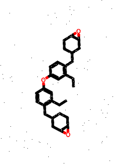 CCc1cc(Oc2ccc(CC3CCC4OC4C3)c(CC)c2)ccc1CC1CCC2OC2C1